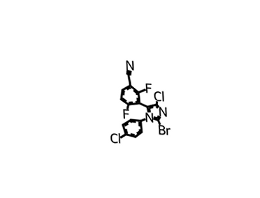 N#Cc1ccc(F)c(-c2c(Cl)nc(Br)n2-c2ccc(Cl)cc2)c1F